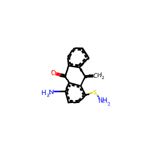 C=C1c2ccccc2C(=O)c2c(N)ccc(SN)c21